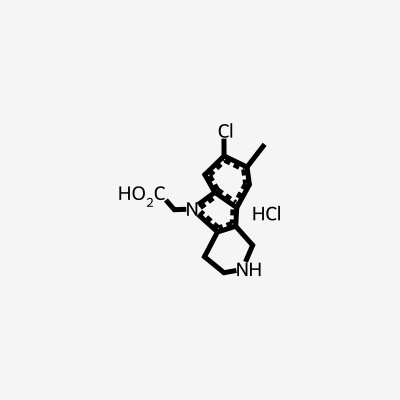 Cc1cc2c3c(n(CC(=O)O)c2cc1Cl)CCNC3.Cl